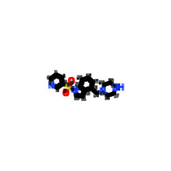 O=S(=O)(c1cccnc1)n1ccc2c(CN3CCNCC3)cccc21